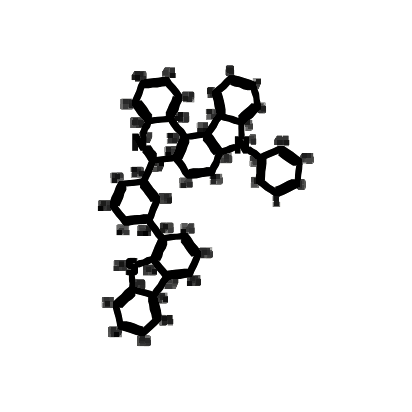 c1ccc(-n2c3ccccc3c3c4c(ccc32)c(-c2cccc(-c3cccc5c3sc3ccccc35)c2)nc2ccccc24)cc1